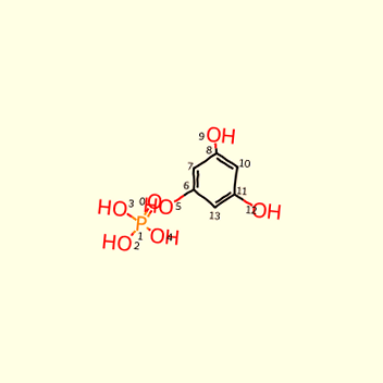 O=P(O)(O)O.Oc1cc(O)cc(O)c1